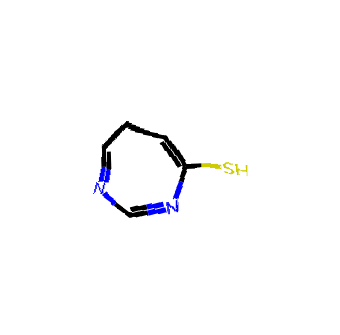 SC1=CCC=NC=N1